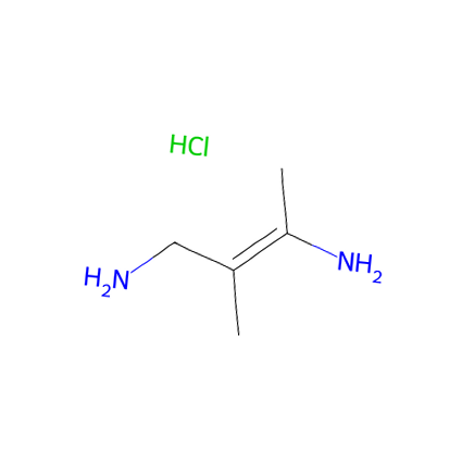 CC(N)=C(C)CN.Cl